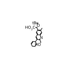 Cc1cc2nc(CO)c(C3C=CCCC3)cc2cc1C(OC(C)(C)C)C(=O)O